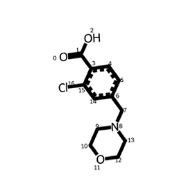 O=C(O)c1ccc(CN2CCOCC2)cc1Cl